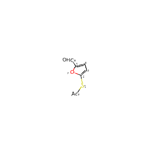 CC(=O)Sc1ccc(C=O)o1